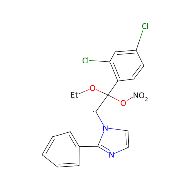 CCOC([CH]n1ccnc1-c1ccccc1)(O[N+](=O)[O-])c1ccc(Cl)cc1Cl